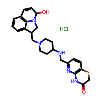 Cl.O=C1CSc2ccc(CNC3CCN(CC4CN5c6c(cccc64)C=CC5O)CC3)nc2N1